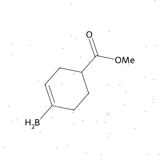 BC1=CCC(C(=O)OC)CC1